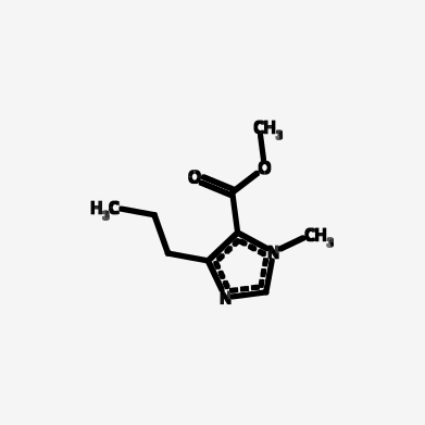 CCCc1ncn(C)c1C(=O)OC